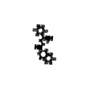 CNC(CCNC1CCc2ccccc2C1)c1ccccc1